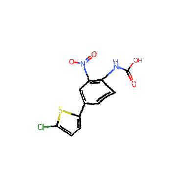 O=C(O)Nc1ccc(-c2ccc(Cl)s2)cc1[N+](=O)[O-]